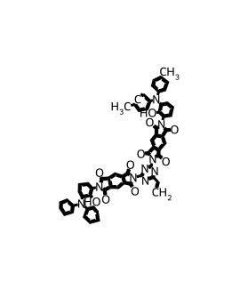 C=Cc1nc(-n2c(=O)c3cc4c(=O)n(-c5cccc(N(c6ccccc6)c6ccccc6)c5O)c(=O)c4cc3c2=O)nc(-n2c(=O)c3cc4c(=O)n(-c5cccc(N(c6ccc(C)cc6)c6ccc(C)cc6)c5O)c(=O)c4cc3c2=O)n1